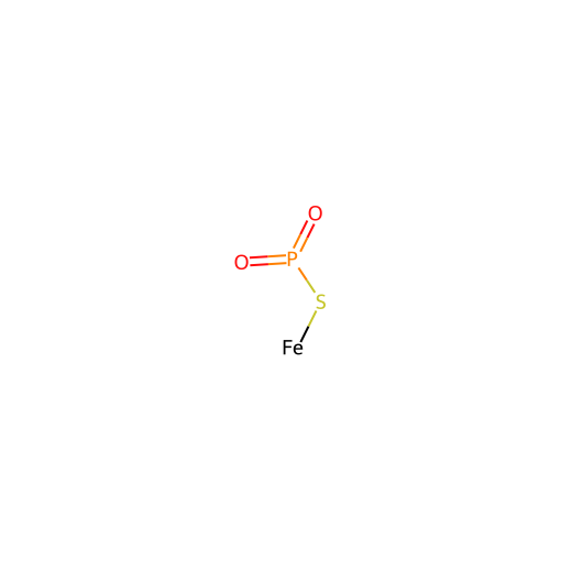 O=P(=O)[S][Fe]